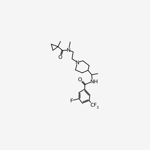 CC(NC(=O)c1cc(F)cc(C(F)(F)F)c1)C1CCN(CCN(C)C(=O)C2(C)CC2)CC1